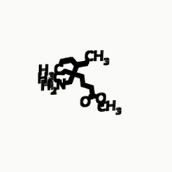 C/C=C\C(=C/C)C(CC)(CN)CCCC(=O)OC